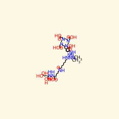 CN(C)c1nc(NCCCCCCCC(=O)NCCCC[C@H](NC(=O)N[C@@H](CCC(O)O)C(=O)O)C(=O)O)nc(Nc2ccc(CC3CN(CC(=O)O)CCN(CC(=O)O)CCN(CC(=O)O)CCN3CC(=O)O)cc2)n1